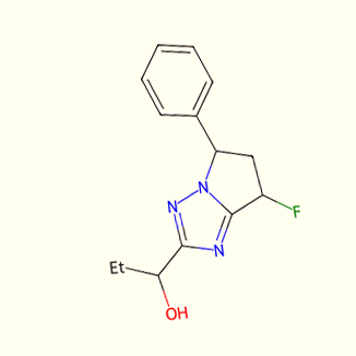 CCC(O)c1nc2n(n1)C(c1ccccc1)CC2F